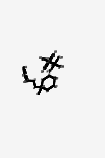 C[N+]1(CCN=C=S)CCOCC1.O=S(=O)([O-])C(F)(F)F